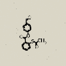 CC(=O)Sc1ccccc1C(=O)Oc1ccc(C=O)cc1